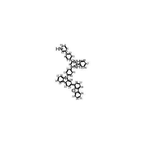 C1=CC(c2ccc(C3=CC(c4ccc(-n5c6ccccc6c6ccc(-c7cccc8c7oc7ccccc78)cc65)cc4)NC(c4ccccc4)N3)cc2)=CNC1